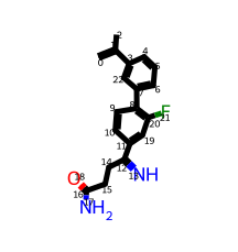 C=C(C)c1cccc(-c2ccc(C(=N)CCC(N)=O)cc2F)c1